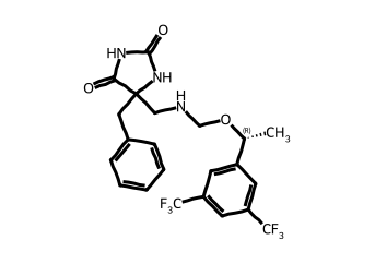 C[C@@H](OCNCC1(Cc2ccccc2)NC(=O)NC1=O)c1cc(C(F)(F)F)cc(C(F)(F)F)c1